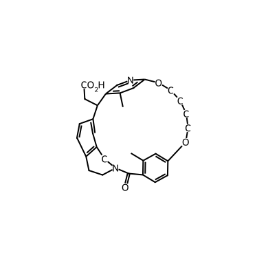 Cc1cc2ccc1C(=O)N1CCc3ccc(cc3C1)C(CC(=O)O)c1cnc(cc1C)OCCCCO2